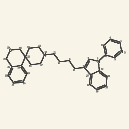 c1cncc(-n2cc(CCCCN3CCC4(CC3)COCc3ccccc34)c3ccccc32)c1